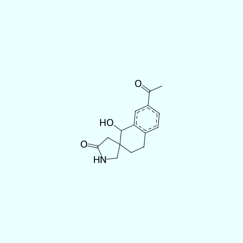 CC(=O)c1ccc2c(c1)C(O)C1(CC2)CNC(=O)C1